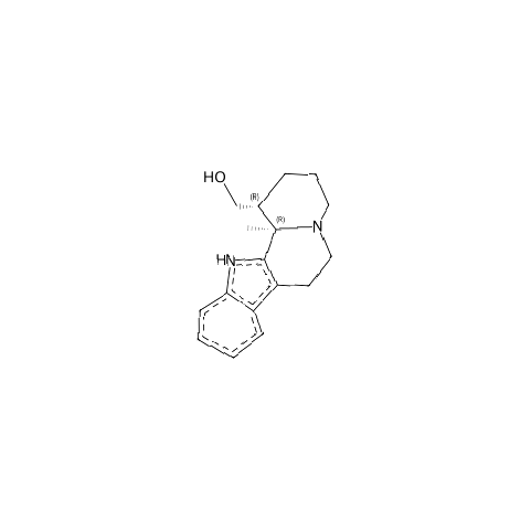 C[C@@]12c3[nH]c4ccccc4c3CCN1CCC[C@H]2CO